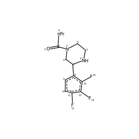 CCCC(=O)N1CCNC(c2ccc(F)c(F)c2F)C1